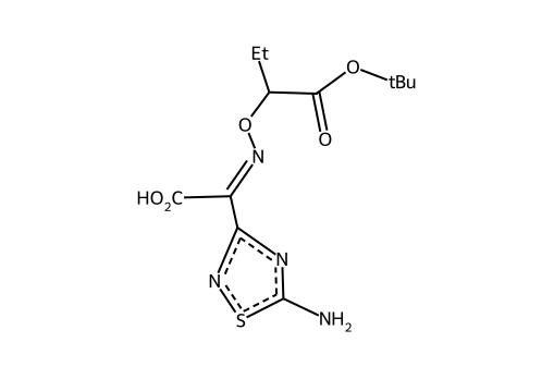 CCC(O/N=C(\C(=O)O)c1nsc(N)n1)C(=O)OC(C)(C)C